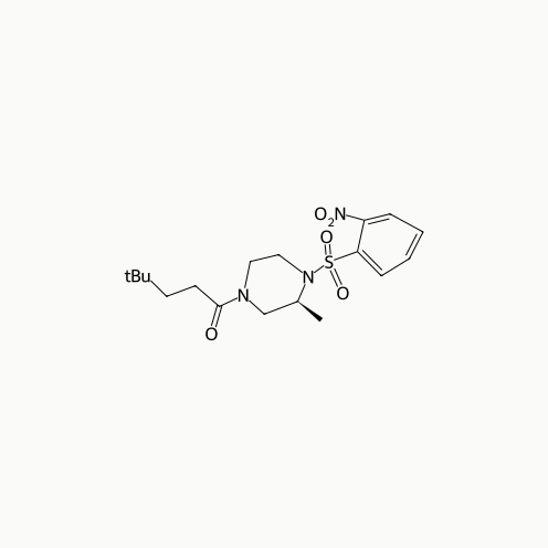 C[C@H]1CN(C(=O)CCC(C)(C)C)CCN1S(=O)(=O)c1ccccc1[N+](=O)[O-]